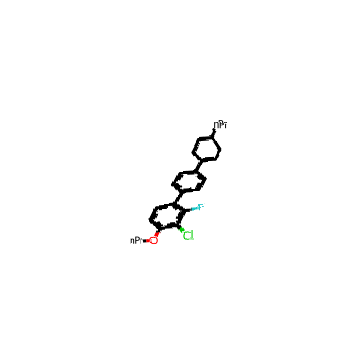 CCCOc1ccc(-c2ccc(C3=CCC(CCC)CC3)cc2)c(F)c1Cl